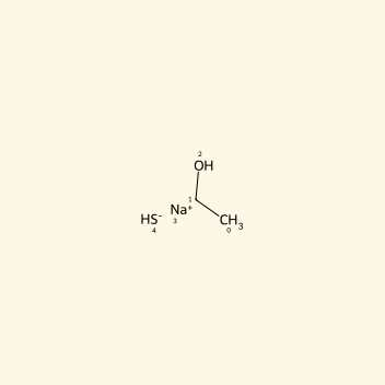 CCO.[Na+].[SH-]